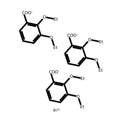 CCOc1cccc(C(=O)[O-])c1OCC.CCOc1cccc(C(=O)[O-])c1OCC.CCOc1cccc(C(=O)[O-])c1OCC.[In+3]